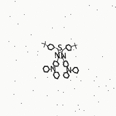 CC(C)(C)c1ccc(C2SC(c3ccc(C(C)(C)C)cc3)C3N=C(c4ccc(N(c5ccccc5)c5ccccc5)cc4)C(c4ccc(N(c5ccccc5)c5ccccc5)cc4)=NC23)cc1